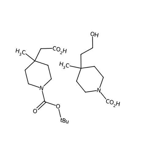 CC1(CC(=O)O)CCN(C(=O)OC(C)(C)C)CC1.CC1(CCO)CCN(C(=O)O)CC1